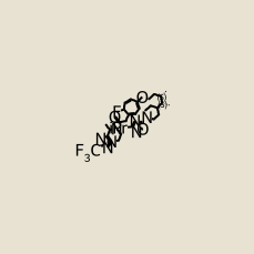 CC(C)c1noc(N2CCC([C@@H](C)[C@@H](C)CCOC3=CC=C(CC(=O)N4CCn5nc(C(F)(F)F)nc5C4C)C(F)C=C3)CC2)n1